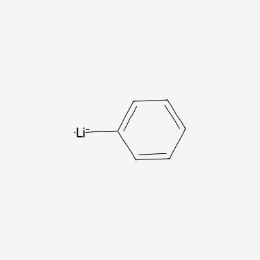 [Li-][c]1ccccc1